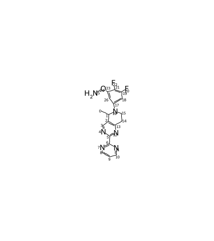 CC1c2cnc(-c3ncccn3)nc2CCN1c1cc(F)c(F)c(ON)c1